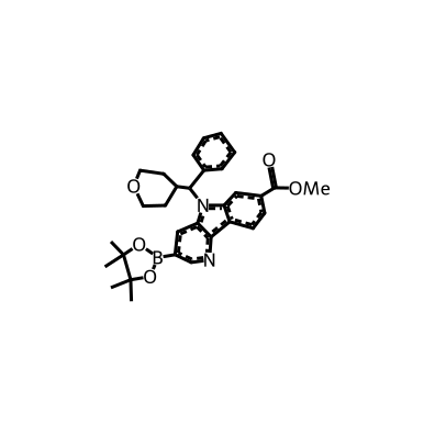 COC(=O)c1ccc2c3ncc(B4OC(C)(C)C(C)(C)O4)cc3n(C(c3ccccc3)C3CCOCC3)c2c1